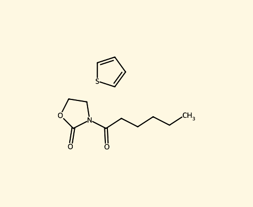 CCCCCC(=O)N1CCOC1=O.c1ccsc1